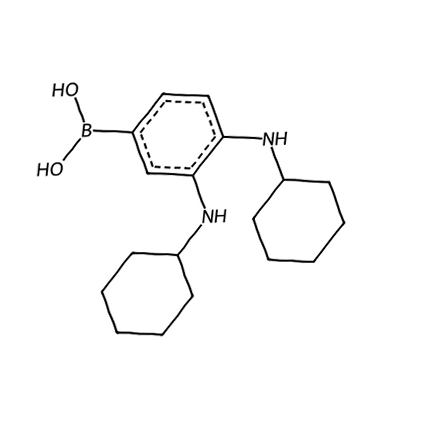 OB(O)c1ccc(NC2CCCCC2)c(NC2CCCCC2)c1